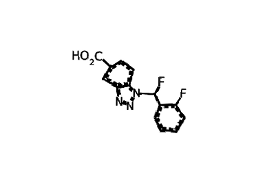 O=C(O)c1ccc2c(c1)nnn2C(F)c1ccccc1F